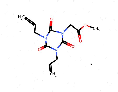 C=CCn1c(=O)n(CC=C)c(=O)n(CC(=O)OC)c1=O